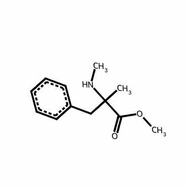 CNC(C)(Cc1ccccc1)C(=O)OC